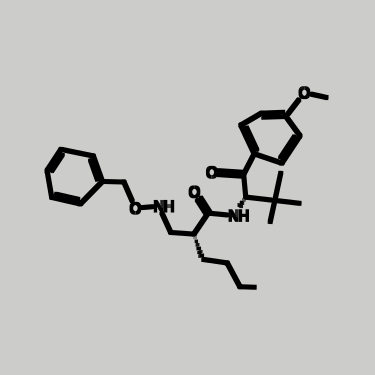 CCCC[C@H](CNOCc1ccccc1)C(=O)N[C@H](C(=O)c1ccc(OC)cc1)C(C)(C)C